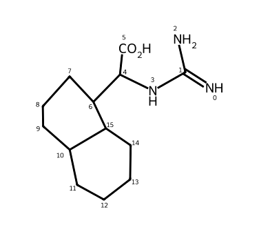 N=C(N)NC(C(=O)O)C1CCCC2CCCCC21